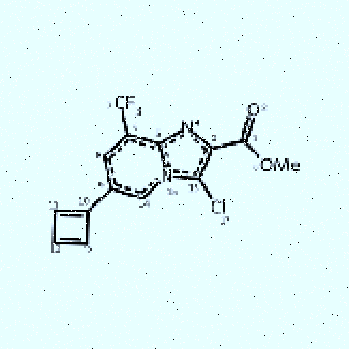 COC(=O)c1nc2c(C(F)(F)F)cc(C3=CC=C3)cn2c1Cl